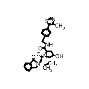 Cc1ncsc1-c1ccc(CNC(=O)C2C[C@@H](O)CN2C(=O)[C@H](C(C)C)N2Cc3ccccc3C2=O)cc1